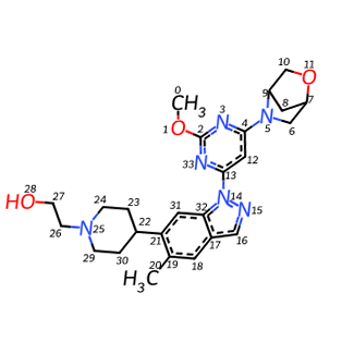 COc1nc(N2CC3CC2CO3)cc(-n2ncc3cc(C)c(C4CCN(CCO)CC4)cc32)n1